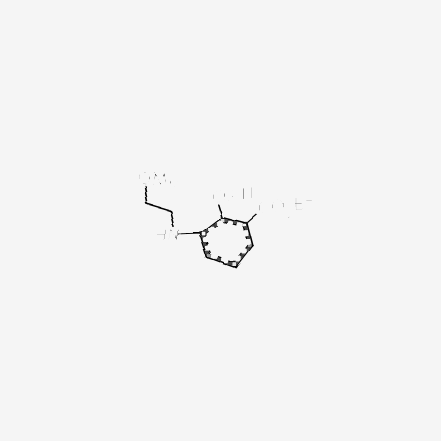 CCOC(=O)c1cccc(NCCOC)c1C(=O)O